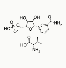 CC(C)[C@H](N)C(=O)O.NC(=O)c1ccc[n+]([C@@H]2O[C@H](COP(=O)([O-])O)[C@@H](O)[C@H]2O)c1